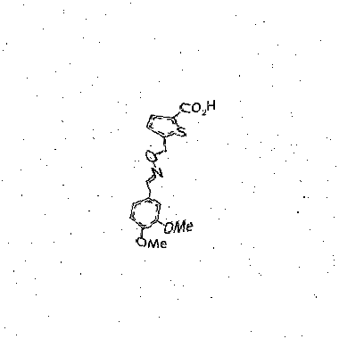 COc1ccc(C=NOCc2ccc(C(=O)O)s2)cc1OC